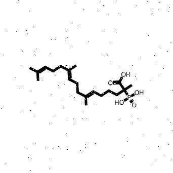 CC(C)=CCCC(C)=CCCC(C)=CCCCC(C)(C(=O)O)P(=O)(O)O